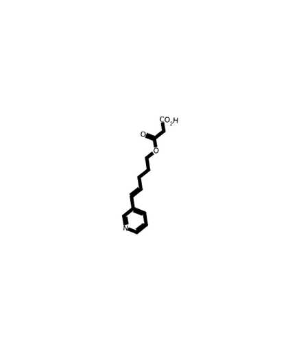 O=C(O)CC(=O)OCCCC=Cc1cccnc1